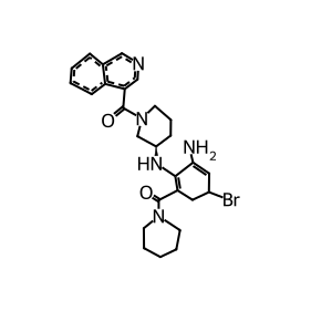 NC1=CC(Br)CC(C(=O)N2CCCCC2)=C1N[C@@H]1CCCN(C(=O)c2cncc3ccccc23)C1